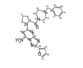 Nc1nc(N2CCCC2C(=O)N2CCN(Cc3ccccc3)CC2)nc2nc(-c3ccco3)nn12